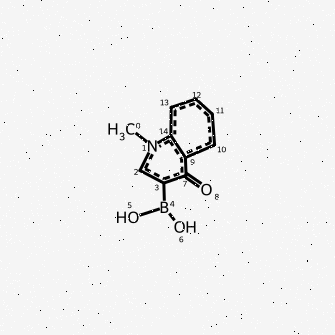 Cn1cc(B(O)O)c(=O)c2ccccc21